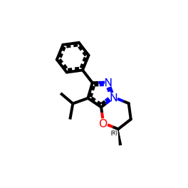 CC(C)c1c(-c2ccccc2)nn2c1O[C@H](C)CC2